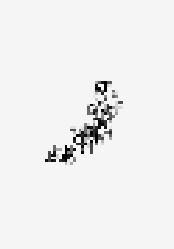 CC(C)(C)C(=O)NCc1cc(F)c(Cl)c(Nc2nc3cc(C(=O)NC4CCC(C(F)(F)F)CC4)c(N4CCC(F)CC4)nc3[nH]2)c1Cl